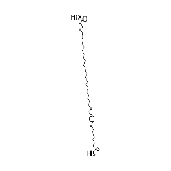 O=C(O)CCCCCCCCCCCCCCCCCCCCCCCCCCCCCCCCCCCCCC(=S)S